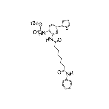 CC(C)(C)OC(=O)Nc1ccc(-c2cccs2)cc1NC(=O)CCCCCCC(=O)Nc1ccccc1